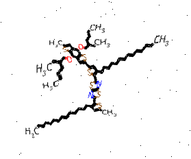 CCCCCCCCCCCCCCc1cc(C)sc1-c1nc2sc(-c3sc(-c4cc5c(OCC(CC)CCCC)c6sc(C)cc6c(OCC(CC)CCCC)c5s4)cc3CCCCCCCCCCCCCC)nc2s1